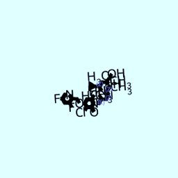 C\C=C(/N=C\C(C)=C\n1c(C)cc(OCc2ncc(F)cc2F)c(Cl)c1=O)N/C(=C\C(=N)C(C)(C)O)C1CC1